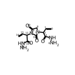 C=CC(C(=O)NN)N1CC(=O)N(C(C=C)C(=O)NN)C1=O